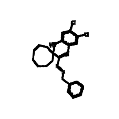 Clc1cc2c(cc1Cl)NC1(CCCCCCC1)C(N=NCc1ccccc1)=N2